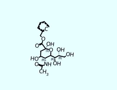 CC(=O)N[C@@H]1C(O)C[C@@](O)(C(=O)OCc2ccccc2)OC1[C@H](O)[C@H](O)CO